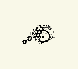 CO[C@H]1/C=C/O[C@@]2(C)Oc3c4c(O)c5c(O)c(c(/C=N/N6CCN(C7CCCC7)CC6)c(O)c5c3C2=O)NC(=O)/C(C)=C\C=C\[C@H](C)[C@H](O)[C@@H](C)[C@@H](O)[C@@H](C)[C@H](OC(C)=O)[C@@]41C